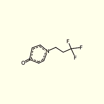 O=c1ccn(CCC(F)(F)F)cc1